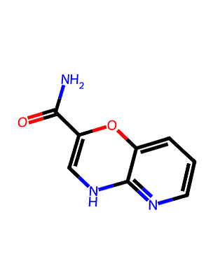 NC(=O)C1=CNc2ncccc2O1